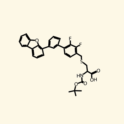 CC(C)(C)OC(=O)NC(CSCc1ccc(-c2cccc(-c3cccc4c3oc3ccccc34)c2)c(F)c1F)C(=O)O